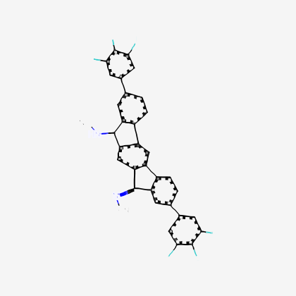 N#C/N=C1\c2cc(-c3cc(F)c(F)c(F)c3)ccc2-c2cc3c(cc21)C(NC#N)c1cc(-c2cc(F)c(F)c(F)c2)ccc1-3